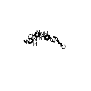 CCN1CCC(Nc2c(Cl)cnc3[nH]c(-c4ccc(N5CCN(CCCCOC)CC5)cc4)nc23)CC1